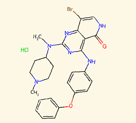 CN1CCC(N(C)c2nc(Nc3ccc(Oc4ccccc4)cc3)c3c(=O)[nH]cc(Br)c3n2)CC1.Cl